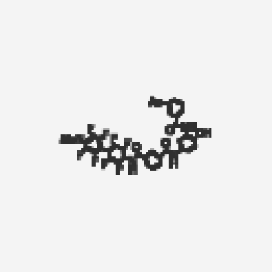 CNc1c(F)c(F)c(-c2c(F)c(F)c(NC(=O)c3cccc(C(=O)Nc4ccc(O)c(NC(=O)c5cccc(C(C)=O)c5)c4)c3)c(F)c2F)c(F)c1F